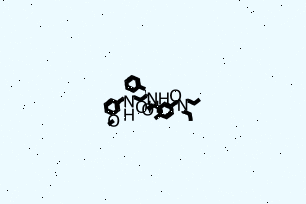 CCCN(CCC)C(=O)c1ccc(C)c(C(=O)N[C@@H](Cc2ccccc2)[C@H](O)CNCc2cccc(OC)c2)c1